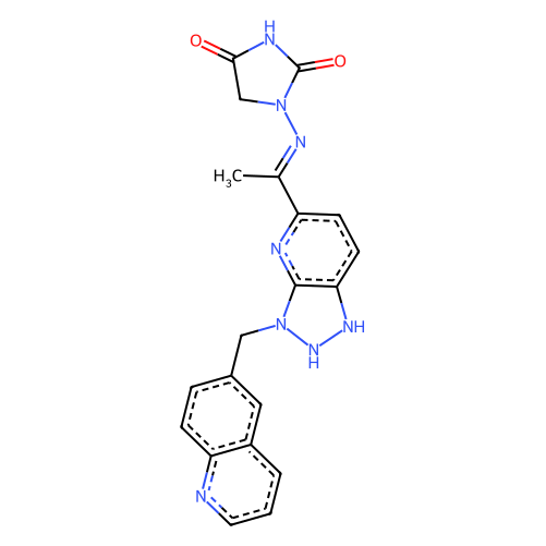 C/C(=N\N1CC(=O)NC1=O)c1ccc2c(n1)N(Cc1ccc3ncccc3c1)NN2